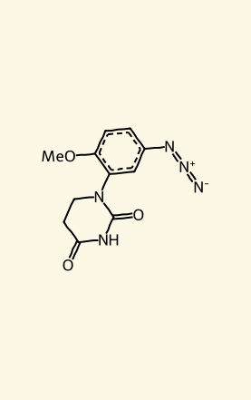 COc1ccc(N=[N+]=[N-])cc1N1CCC(=O)NC1=O